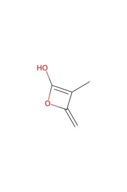 C=C1OC(O)=C1C